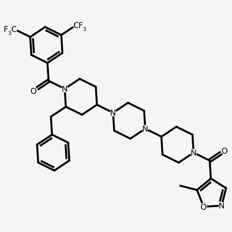 Cc1oncc1C(=O)N1CCC(N2CCN(C3CCN(C(=O)c4cc(C(F)(F)F)cc(C(F)(F)F)c4)C(Cc4ccccc4)C3)CC2)CC1